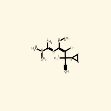 C#CC(C)(/C(Cl)=C(\N=C(/C)N(C)C)OC)C1CC1